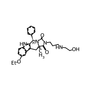 CCOc1ccc2[nH]c3c(c2c1)C[C@@]1(C)C(=O)N(CCCNCCO)C(=O)N1[C@@H]3c1ccccc1